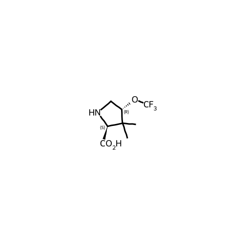 CC1(C)[C@@H](OC(F)(F)F)CN[C@@H]1C(=O)O